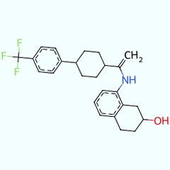 C=C(Nc1cccc2c1CC(O)CC2)C1CCC(c2ccc(C(F)(F)F)cc2)CC1